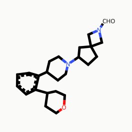 O=CN1CC2(CCC(N3CCC(c4ccccc4C4CCOCC4)CC3)C2)C1